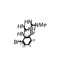 CNC(=N)NC(=N)Nc1c(Br)cccc1Br